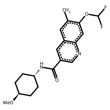 CO[C@H]1CC[C@H](NC(=O)c2cnc3cc(OC(F)F)c(C)cc3c2)CC1